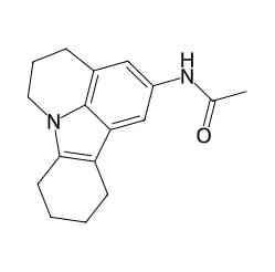 CC(=O)Nc1cc2c3c(c1)c1c(n3CCC2)CCCC1